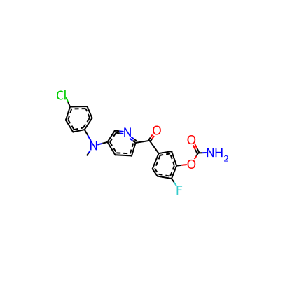 CN(c1ccc(Cl)cc1)c1ccc(C(=O)c2ccc(F)c(OC(N)=O)c2)nc1